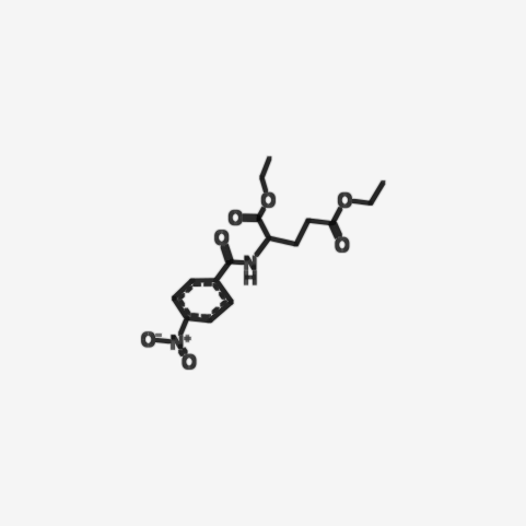 CCOC(=O)CCC(NC(=O)c1ccc([N+](=O)[O-])cc1)C(=O)OCC